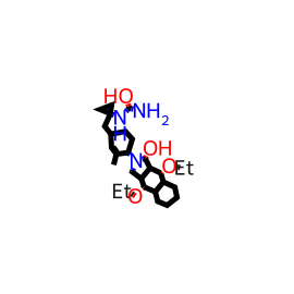 CCOC1C2CCCCC2C(OCC)C2C1CN(C1CCC(CC3(NC(N)O)CC3)C=C1C)C2O